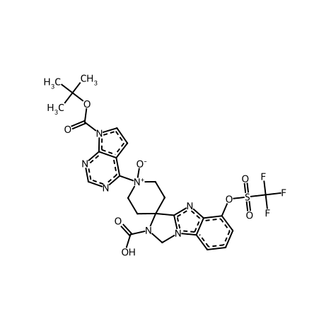 CC(C)(C)OC(=O)n1ccc2c([N+]3([O-])CCC4(CC3)c3nc5c(OS(=O)(=O)C(F)(F)F)cccc5n3CN4C(=O)O)ncnc21